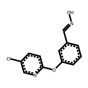 ON=Cc1cccc(Oc2ccc(Cl)cn2)c1